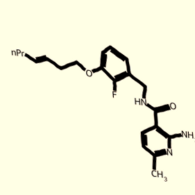 CCCC=CCCOc1cccc(CNC(=O)c2ccc(C)nc2N)c1F